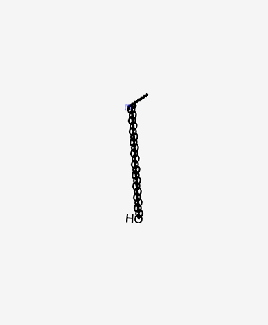 C/C=C\c1cc(CCCCCCCCC)ccc1OCCOCCOCCOCCOCCOCCOCCOCCOCCOCCOCCOCCOCCOCCOCCOCCOCCOCCOCCOCCO